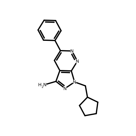 Nc1nn(CC2CCCC2)c2nnc(-c3ccccc3)cc12